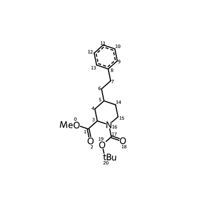 COC(=O)C1CC(CCc2ccccc2)CCN1C(=O)OC(C)(C)C